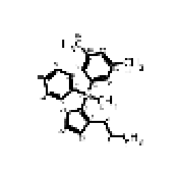 CCCC1=C([Si](C)(c2ccccc2)c2cc(C)cc(C)c2)CC=C1